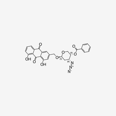 [N-]=[N+]=N[C@@H]1C[C@@H](OCc2cc(O)c3c(c2)C(=O)c2cccc(O)c2C3=O)OC[C@@H]1OC(=O)c1ccccc1